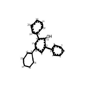 Oc1c(-c2ccccc2)cc(C2CCCCC2)cc1-c1ccccc1